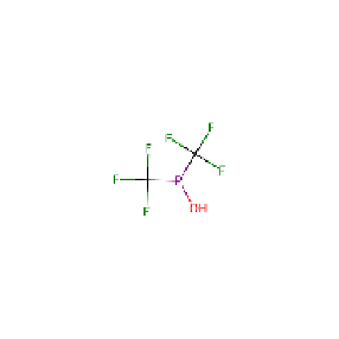 OP(C(F)(F)F)C(F)(F)F